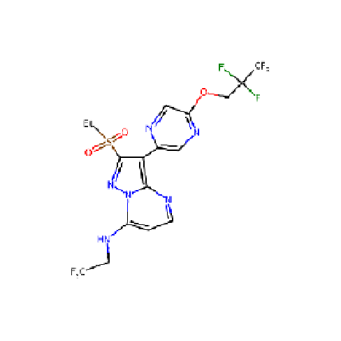 CCS(=O)(=O)c1nn2c(NCC(F)(F)F)ccnc2c1-c1cnc(OCC(F)(F)C(F)(F)F)cn1